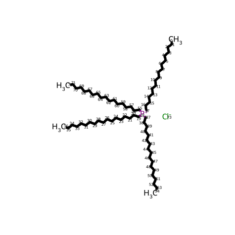 CCCCCCCCCCCCCCCCCC[P+](CCCCCCCCCCCCCCCCCC)(CCCCCCCCCCCCCCCCCC)CCCCCCCCCCCCCCCCCC.[Cl-]